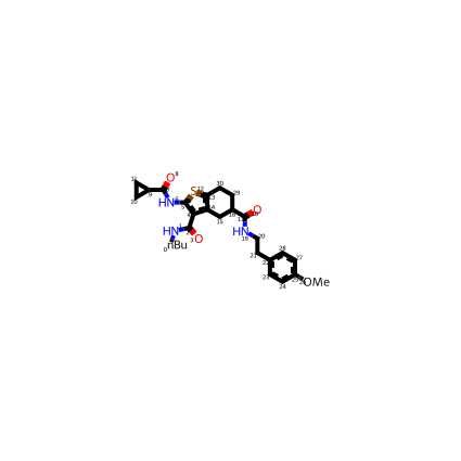 CCCCNC(=O)c1c(NC(=O)C2CC2)sc2c1CC(C(=O)NCCc1ccc(OC)cc1)CC2